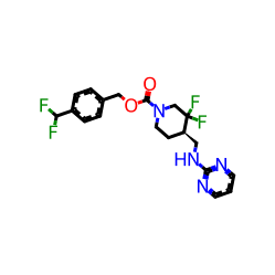 O=C(OCc1ccc(C(F)F)cc1)N1CC[C@H](CNc2ncccn2)C(F)(F)C1